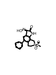 CS(=O)(=O)N1CCc2c(-c3ccccc3)cc3c(c2C1)NC(=O)/C3=N/O